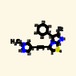 CCc1nc2scc(C#Cc3cnn(C)c3)n2c1-c1ccccc1